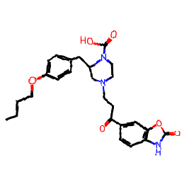 CCCCOc1ccc(CC2CN(CCC(=O)c3ccc4[nH]c(=O)oc4c3)CCN2C(=O)O)cc1